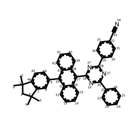 CC1(C)CC(C)(C)c2cc(-c3c4ccccc4c(-c4nc(-c5ccccc5)nc(-c5ccc(C#N)cc5)n4)c4ccccc34)ccc21